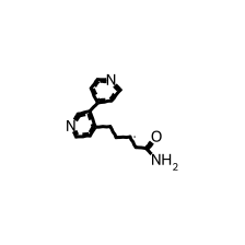 NC(=O)C[CH]CCc1ccncc1-c1ccncc1